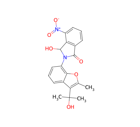 Cc1oc2c(N3C(=O)c4cccc([N+](=O)[O-])c4C3O)cccc2c1C(C)(C)O